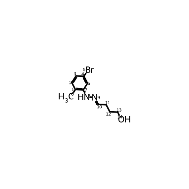 Cc1ccc(Br)cc1NN=CCCCO